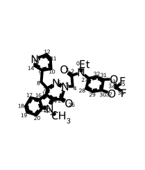 CCN(C(=O)Cn1nc(Cc2cccnc2)c2c3ccccc3n(C)c2c1=O)c1ccc2c(c1)OC(F)(F)O2